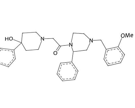 COc1ccccc1CN1CCN(C(=O)CN2CCC(O)(c3ccccc3)CC2)C(c2ccccc2)C1